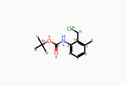 Cc1cccc(NC(=O)OC(C)(C)C)c1CCl